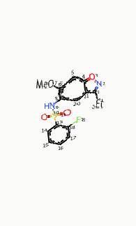 CCc1noc2cc(OC)c(NS(=O)(=O)c3ccccc3F)cc12